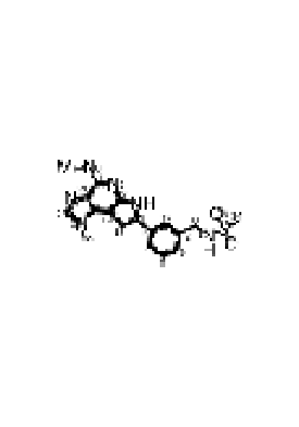 CNc1nc2[nH]c(-c3cccc(CNS(C)(=O)=O)c3)cc2c2c1ncn2C